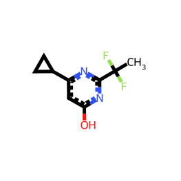 CC(F)(F)c1nc(O)cc(C2CC2)n1